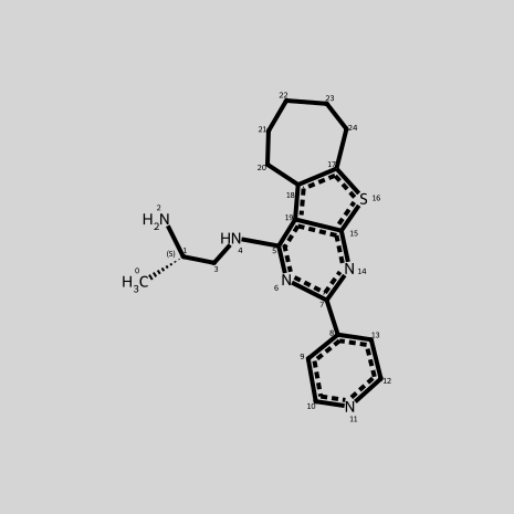 C[C@H](N)CNc1nc(-c2ccncc2)nc2sc3c(c12)CCCCC3